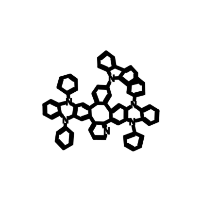 c1ccc(-n2c3ccccc3n(-c3ccccc3)c3cc4c(cc32)c2ccc(-n3c5ccccc5c5ccccc53)cc2c2cc3c(cc2c2ncccc42)n(-c2ccccc2)c2ccccc2n3-c2ccccc2)cc1